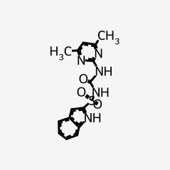 Cc1cc(C)nc(NC(=O)NS(=O)(=O)c2cc3ccccc3[nH]2)n1